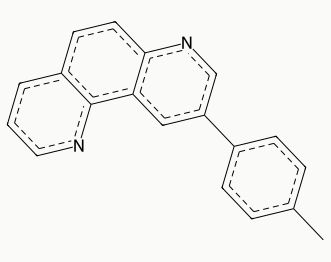 Cc1ccc(-c2cnc3ccc4cccnc4c3c2)cc1